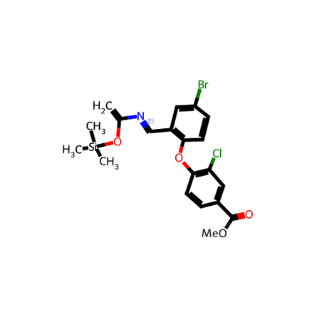 C=C(/N=C/c1cc(Br)ccc1Oc1ccc(C(=O)OC)cc1Cl)O[Si](C)(C)C